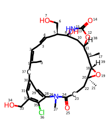 C/C1=C\C=C\[C@@H](CO)[C@@]2(O)C[C@H](OC(=O)N2)[C@@H](C)[C@@H]2O[C@@]2(C)CCC(=O)N(C)c2cc(cc(CO)c2Cl)C1